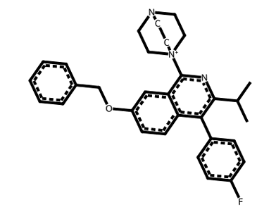 CC(C)c1nc([N+]23CCN(CC2)CC3)c2cc(OCc3ccccc3)ccc2c1-c1ccc(F)cc1